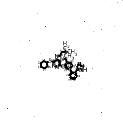 CC(C)(C)Cc1nc2c(SC3CCCCC3)nnc(O)c2n1Cc1ccc(-c2ccccc2-c2nnn[nH]2)cc1